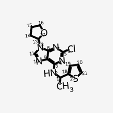 CC(Nc1nc(Cl)nc2c1ncn2C1CCCO1)c1cccs1